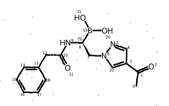 CC(=O)c1cnn(C[C@@H](NC(=O)Cc2ccccc2)B(O)O)c1